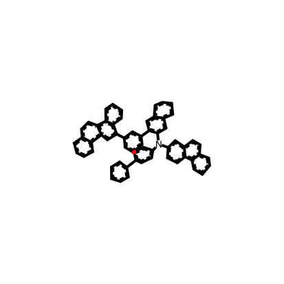 c1ccc(-c2ccc(N(c3ccc4c(ccc5ccccc54)c3)c3cc4ccccc4cc3-c3cccc(-c4cc5c6ccccc6ccc5c5ccccc45)c3)cc2)cc1